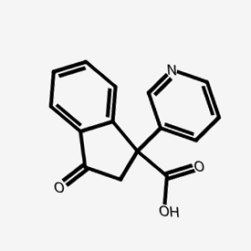 O=C1CC(C(=O)O)(c2cccnc2)c2ccccc21